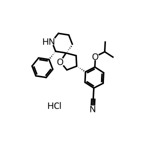 CC(C)Oc1ccc(C#N)cc1[C@@H]1CO[C@]2(CCCN[C@H]2c2ccccc2)C1.Cl